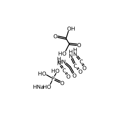 N=C=O.N=C=O.N=C=O.N=C=O.O=C(O)C(=O)O.O=P(O)(O)O.[NaH]